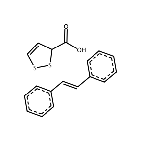 C(=Cc1ccccc1)c1ccccc1.O=C(O)C1C=CSS1